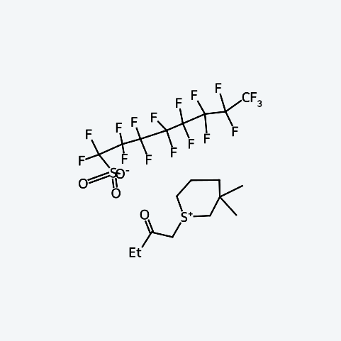 CCC(=O)C[S+]1CCCC(C)(C)C1.O=S(=O)([O-])C(F)(F)C(F)(F)C(F)(F)C(F)(F)C(F)(F)C(F)(F)C(F)(F)C(F)(F)F